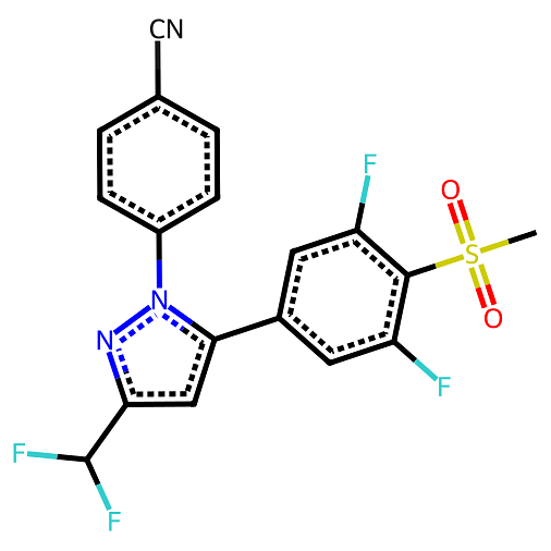 CS(=O)(=O)c1c(F)cc(-c2cc(C(F)F)nn2-c2ccc(C#N)cc2)cc1F